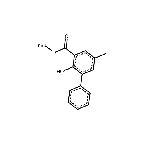 CCCCOC(=O)c1cc(C)cc(-c2ccccc2)c1O